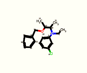 CCN(c1cccc(Cl)c1)C(C)C(C)OCc1ccccc1